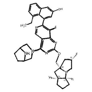 CCc1cccc2cc(O)cc(-c3ncc4c(N5CC6CCC(C5)N6)nc(OC[C@]56C[C@H](F)CN5[C@H]5CCC[C@H]5C6)nc4c3F)c12